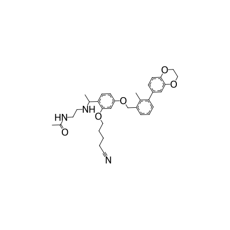 CC(=O)NCCNC(C)c1ccc(OCc2cccc(-c3ccc4c(c3)OCCO4)c2C)cc1OCCCCC#N